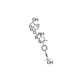 CC1=C(c2ccc(C#CC(C)(C)O)cc2)N=C2N=C(O[C@@H]3COC4[C@H](O)CO[C@@H]43)NC2C1